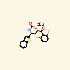 CC(C)(C)OC(=O)NC(CCC(=O)c1c(F)cccc1F)c1cc2ccccc2s1